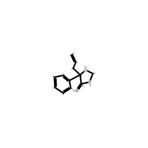 C=CCC1(c2ccccc2)OCOC1=O